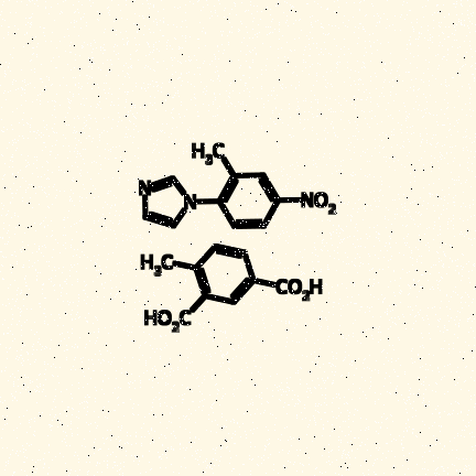 Cc1cc([N+](=O)[O-])ccc1-n1ccnc1.Cc1ccc(C(=O)O)cc1C(=O)O